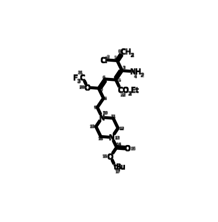 C=C(Cl)/C(N)=C(\C=C(/CCN1CCN(C(=O)OC(C)(C)C)CC1)OC(F)(F)F)C(=O)OCC